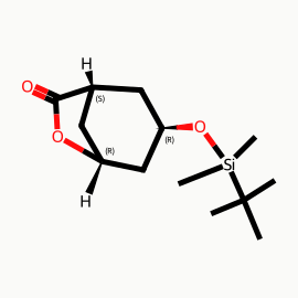 CC(C)(C)[Si](C)(C)O[C@H]1C[C@H]2C[C@@H](C1)C(=O)O2